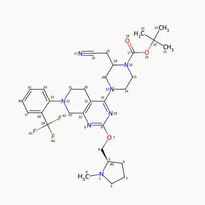 CN1CCC[C@@H]1COc1nc2c(c(N3CCN(C(=O)OC(C)(C)C)C(CC#N)C3)n1)CCN(c1ccccc1C(F)(F)F)C2